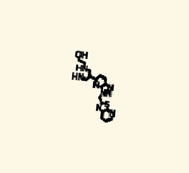 N=C/C(=C\NCCO)c1ccc2nnn(Cc3nc4cccnc4s3)c2n1